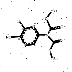 CCCCOC(=O)N(C(=O)OC(C)(C)C)c1cnc(C#N)c(Cl)n1